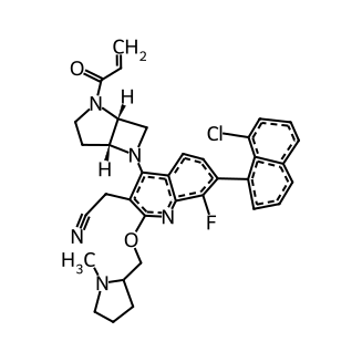 C=CC(=O)N1CC[C@@H]2[C@H]1CN2c1c(CC#N)c(OCC2CCCN2C)nc2c(F)c(-c3cccc4cccc(Cl)c34)ccc12